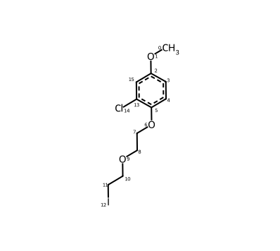 COc1ccc(OCCOCCI)c(Cl)c1